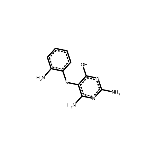 Nc1nc(N)c(Sc2ccccc2N)c(O)n1